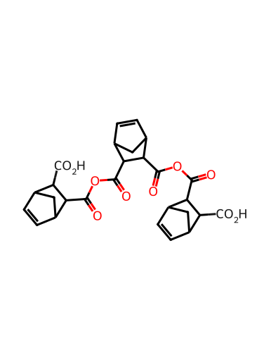 O=C(O)C1C2C=CC(C2)C1C(=O)OC(=O)C1C2C=CC(C2)C1C(=O)OC(=O)C1C2C=CC(C2)C1C(=O)O